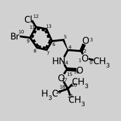 COC(=O)[C@H](Cc1ccc(Br)c(Cl)c1)NC(=O)OC(C)(C)C